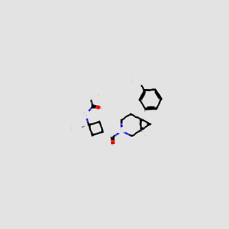 COC(=O)N[C@]1(C)C[C@H](C(=O)N2CC[C@@]3(c4cccc(C)c4)C[C@H]3C2)C1